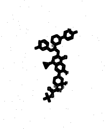 Cc1ccc(N2CCC[C@H](N(Cc3ccnc(C)c3)Cc3cn(C4CC4)c4cc(N5CC[C@@H](NC(=O)OC(C)(C)C)C(F)(F)C5)c(F)cc4c3=O)C2)cn1